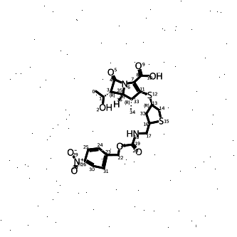 CC(O)[C@@H]1C(=O)N2C(C(=O)O)=C(S[C@H]3CSC(CNC(=O)OCc4ccc([N+](=O)[O-])cc4)C3)[C@H](C)[C@H]12